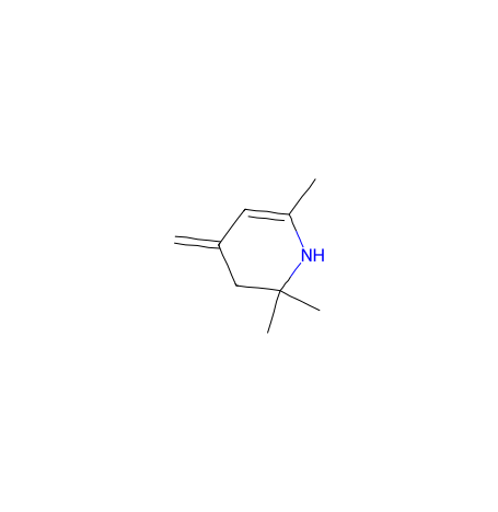 C=C1C=C(C)NC(C)(C)C1